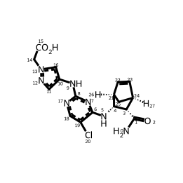 NC(=O)[C@@H]1[C@H](Nc2nc(Nc3cnn(CC(=O)O)c3)ncc2Cl)[C@H]2C=C[C@@H]1C2